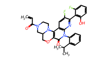 C=CC(=O)N1CCN2c3c(c(=O)n(-c4ccccc4C(C)C)c4nc(-c5c(O)cccc5F)c(F)cc34)OCC2C1